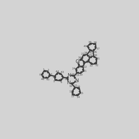 c1ccc(-c2ccc(-c3nc(-c4ccccc4)nc(-c4ccc5c(c4)oc4cc6c7c(cccc7c45)-c4ccccc4-6)n3)cc2)cc1